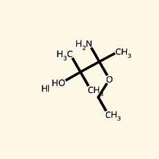 CCOC(C)(N)C(C)(C)O.I